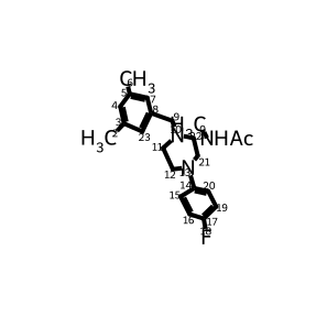 CNC(C)=O.Cc1cc(C)cc(CN2CCN(c3ccc(F)cc3)CC2)c1